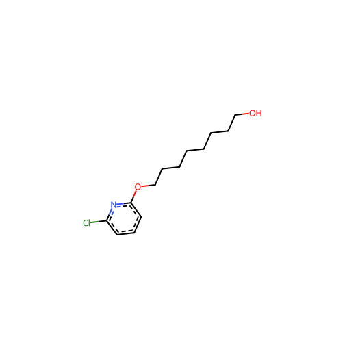 OCCCCCCCCOc1cccc(Cl)n1